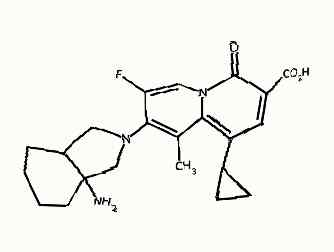 Cc1c(N2CC3CCCCC3(N)C2)c(F)cn2c(=O)c(C(=O)O)cc(C3CC3)c12